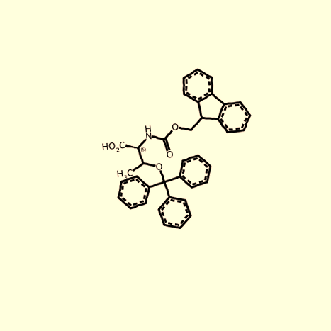 CC(OC(c1ccccc1)(c1ccccc1)c1ccccc1)[C@H](NC(=O)OCC1c2ccccc2-c2ccccc21)C(=O)O